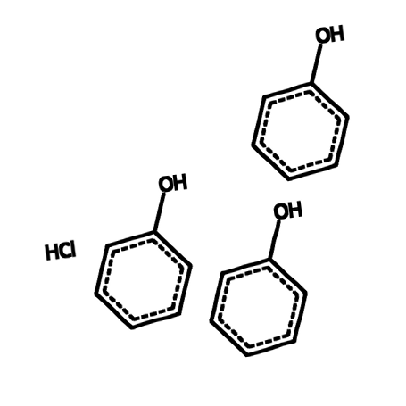 Cl.Oc1ccccc1.Oc1ccccc1.Oc1ccccc1